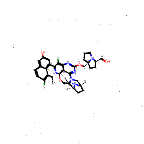 CCc1c(F)ccc2cc(O)cc(-c3nc4c5c(nc(OC[C@]67CCCN6[C@@H](CO)CC7)nc5c3F)N3C[C@H]5CC[C@H](N5)[C@@H]3CO4)c12